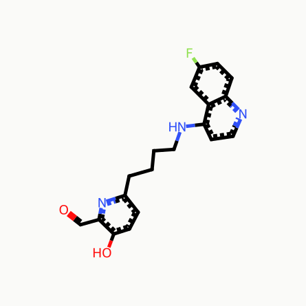 O=Cc1nc(CCCCNc2ccnc3ccc(F)cc23)ccc1O